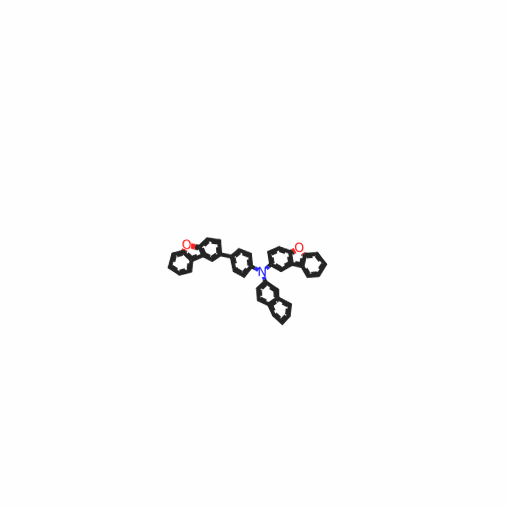 c1ccc2cc(N(c3ccc(-c4ccc5oc6ccccc6c5c4)cc3)c3ccc4oc5ccccc5c4c3)ccc2c1